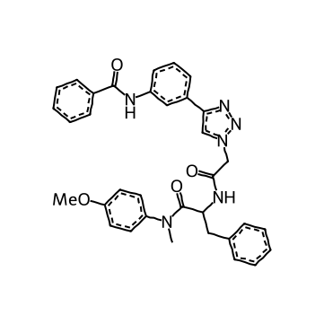 COc1ccc(N(C)C(=O)C(Cc2ccccc2)NC(=O)Cn2cc(-c3cccc(NC(=O)c4ccccc4)c3)nn2)cc1